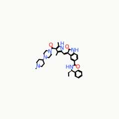 CC[C@@H](NC(=O)c1ccc2c(c1)/C(=C/c1[nH]c(C)c(C(=O)N3CCN(C4CCN(C)CC4)CC3)c1C)C(=O)N2)c1ccccc1